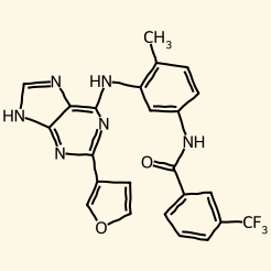 Cc1ccc(NC(=O)c2cccc(C(F)(F)F)c2)cc1Nc1nc(-c2ccoc2)nc2[nH]cnc12